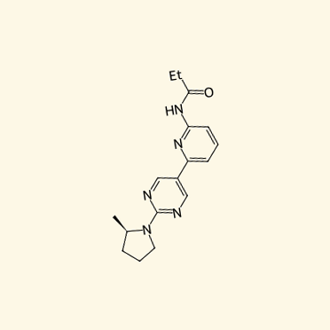 CCC(=O)Nc1cccc(-c2cnc(N3CCC[C@H]3C)nc2)n1